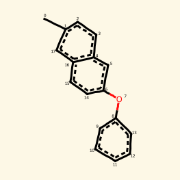 Cc1ccc2cc(Oc3ccccc3)ccc2c1